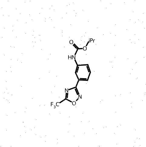 CC(C)OC(=O)Nc1cccc(-c2noc(C(F)(F)F)n2)c1